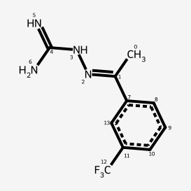 CC(=NNC(=N)N)c1cccc(C(F)(F)F)c1